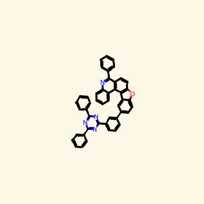 c1ccc(-c2nc(-c3ccccc3)nc(-c3cccc(-c4ccc5oc6ccc7c(-c8ccccc8)nc8ccccc8c7c6c5c4)c3)n2)cc1